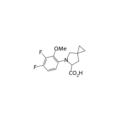 COc1c(N2CC3(CC3)CC2C(=O)O)ccc(F)c1F